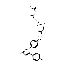 Cc1ccc(-c2cc(C(F)(F)F)nn2-c2ccc(S(=O)(=O)NC(=O)CN([N+]([O-])=NOC(C)OC(=O)OC(C)(C)C)C(C)(C)C)cc2)cc1